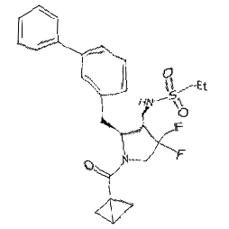 CCS(=O)(=O)N[C@@H]1[C@H](Cc2cccc(-c3ccccc3)c2)N(C(=O)C23CC2C3)CC1(F)F